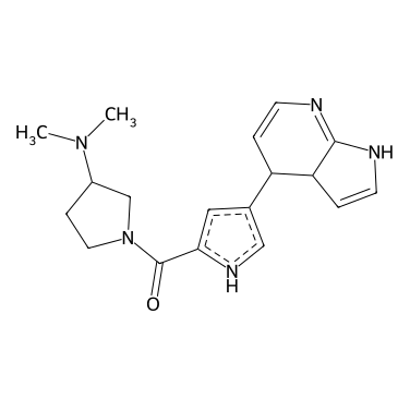 CN(C)C1CCN(C(=O)c2cc(C3C=CN=C4NC=CC43)c[nH]2)C1